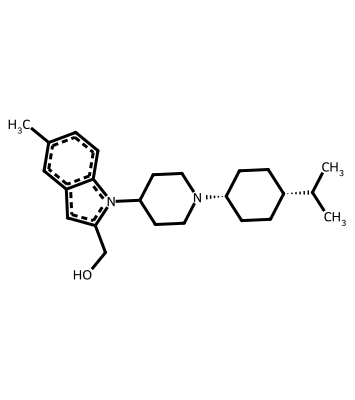 Cc1ccc2c(c1)cc(CO)n2C1CCN([C@H]2CC[C@@H](C(C)C)CC2)CC1